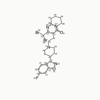 O=c1c(CCN2CCC(c3noc4cc(F)ccc34)CC2)c(C(Br)Br)nc2n1CCCC2